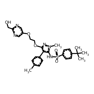 Cc1ccc(-c2c(OCCOc3cnc(CO)nc3)nn(C)c2NS(=O)(=O)c2ccc(C(C)(C)C)cc2)cc1